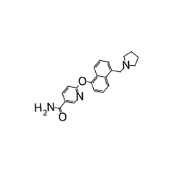 NC(=O)c1ccc(Oc2cccc3c(CN4CCCC4)cccc23)nc1